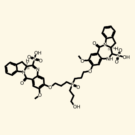 COc1cc2c(cc1OCCCP(=O)(CCCO)CCCOc1cc3c(cc1OC)C(=O)N1c4ccccc4C[C@H]1C(S(=O)(=O)O)N3)N=C(S(=O)(=O)O)[C@@H]1Cc3ccccc3N1C2=O